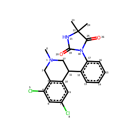 CN1Cc2c(Cl)cc(Cl)cc2C(c2ccccc2N2C(=O)NC(C)(C)C2=O)C1